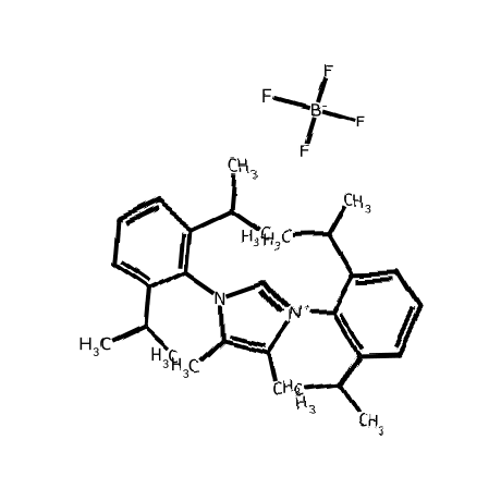 Cc1c(C)[n+](-c2c(C(C)C)cccc2C(C)C)cn1-c1c(C(C)C)cccc1C(C)C.F[B-](F)(F)F